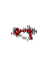 Cc1nc(Nc2ncc(C(=O)Nc3c(C)cccc3Cl)s2)cc(N2CCN(CCCCCCOCCOCC(=O)NC(C(=O)N3C[C@H](O)C[C@H]3C(=O)NCc3ccc(-c4scnc4C)cc3)C(C)(C)C)CC2)n1